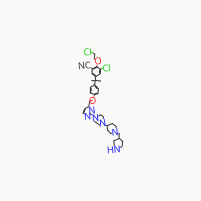 CC(C)(c1ccc(OCc2ccnc(N3CCN(C4CCN(CC5CCNCC5)CC4)CC3)n2)cc1)c1cc(Cl)c(OCCCl)c(C#N)c1